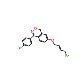 BrC/C=C/COc1ccc2c(c1)CON=C2c1ccc(Br)cc1